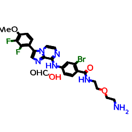 COc1ccc(-c2cnc3c(Nc4ccc(C(=O)NCCOCCN)c(Br)c4)nccn23)c(F)c1F.O=CO